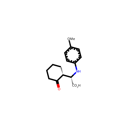 COc1ccc(N[C@H](C(=O)O)[C@H]2CCCCC2=O)cc1